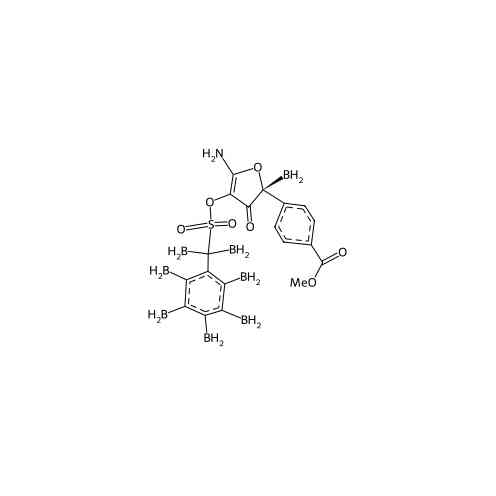 Bc1c(B)c(B)c(C(B)(B)S(=O)(=O)OC2=C(N)O[C@](B)(c3ccc(C(=O)OC)cc3)C2=O)c(B)c1B